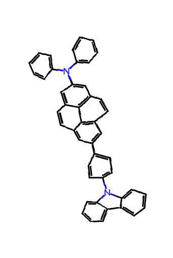 c1ccc(N(c2ccccc2)c2cc3ccc4cc(-c5ccc(-n6c7ccccc7c7ccccc76)cc5)cc5ccc(c2)c3c45)cc1